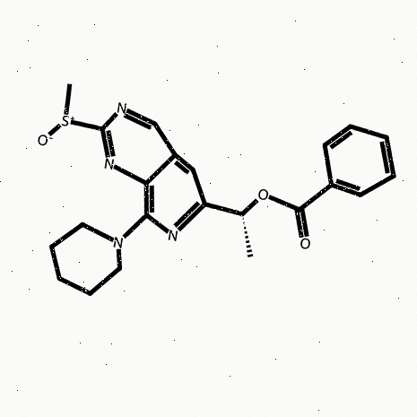 C[C@@H](OC(=O)c1ccccc1)c1cc2cnc([S+](C)[O-])nc2c(N2CCCCC2)n1